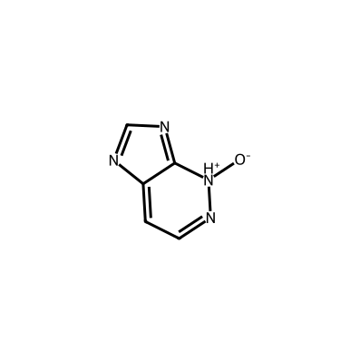 [O-][NH+]1N=CC=C2N=CN=C21